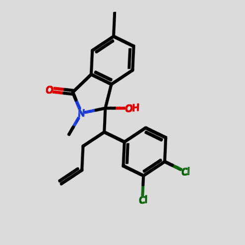 C=CCC(c1ccc(Cl)c(Cl)c1)C1(O)c2ccc(C)cc2C(=O)N1C